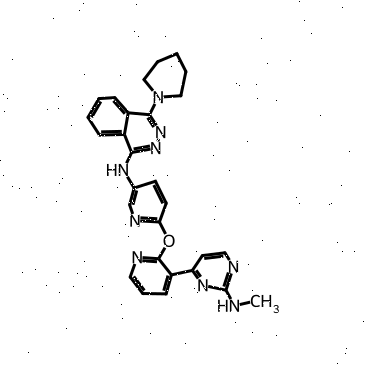 CNc1nccc(-c2cccnc2Oc2ccc(Nc3nnc(N4CCCCC4)c4ccccc34)cn2)n1